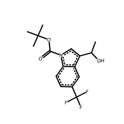 CC(O)c1cn(C(=O)OC(C)(C)C)c2ccc(C(F)(F)F)cc12